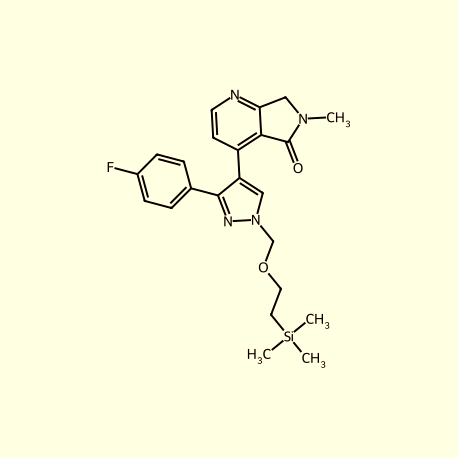 CN1Cc2nccc(-c3cn(COCC[Si](C)(C)C)nc3-c3ccc(F)cc3)c2C1=O